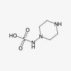 O=S(=O)(O)NN1CCNCC1